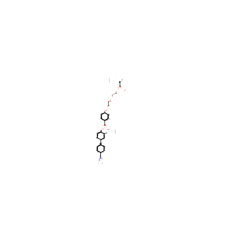 C=C(C)C(=O)OCCOCCOc1ccc(C(=O)Oc2ccc(-c3ccc(C#N)cc3)cc2C)cc1